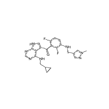 Cn1cc(SNc2ccc(F)c(C(=O)c3c[nH]c4ncnc(NCC5CC5)c34)c2F)cn1